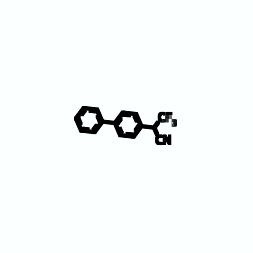 N#CC(c1ccc(-c2ccccc2)cc1)C(F)(F)F